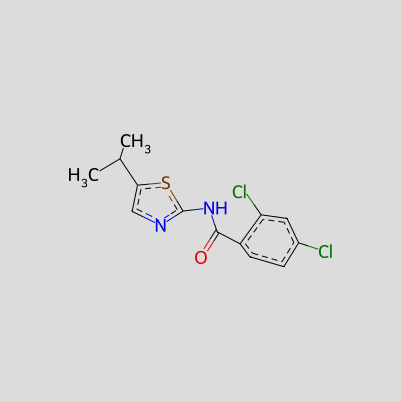 CC(C)c1cnc(NC(=O)c2ccc(Cl)cc2Cl)s1